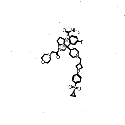 NC(=O)O[C@H]1CCC[C@@H]1[C@](CNC(=O)CN1CCOCC1)(c1cccc(F)c1)C1CCN(CC2CN(c3ccc(S(=O)(=O)C4CC4)cc3)C2)CC1